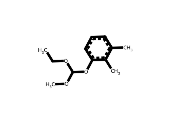 CCOC(OC)Oc1cc[c]c(C)c1C